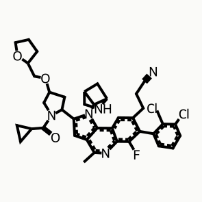 Cc1nc2c(F)c(-c3cccc(Cl)c3Cl)c(CCC#N)cc2c2c1cc(C1CC(OCC3CCCO3)CN1C(=O)C1CC1)n2C1C2CNC1C2